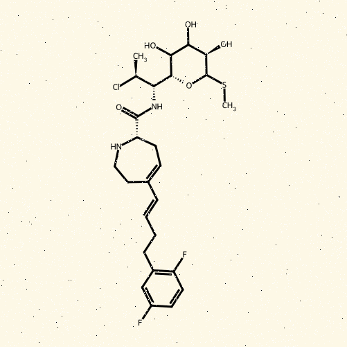 CSC1O[C@H]([C@H](NC(=O)[C@@H]2CC=C(/C=C/CCc3cc(F)ccc3F)CCN2)[C@H](C)Cl)C(O)C(O)[C@H]1O